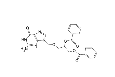 Nc1nc2c(ncn2COCC(COC(=O)c2ccccc2)OC(=O)c2ccccc2)c(=O)[nH]1